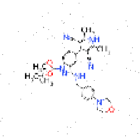 CC1=C(C#N)C(c2ccc3c(c2)c(NCc2ccc(N4CCOCC4)cc2)nn3C(=O)OC(C)(C)C)C(C#N)=C(C)N1